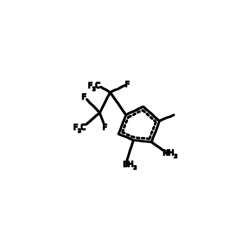 Bc1cc(C(F)(C(F)(F)F)C(F)(F)C(F)(F)F)cc(C)c1N